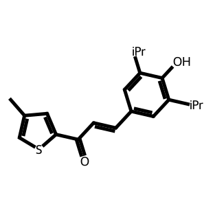 Cc1csc(C(=O)C=Cc2cc(C(C)C)c(O)c(C(C)C)c2)c1